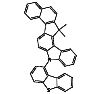 CC1(C)c2ccc3ccccc3c2-c2ccc3c(c21)c1ccccc1n3-c1cccc2sc3ccccc3c12